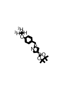 [2H]C([2H])([2H])Oc1ccc(Cn2cc(B3OC(C)(C)C(C)(C)O3)cn2)cc1